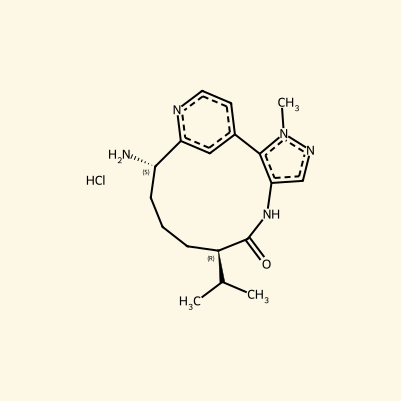 CC(C)[C@H]1CCC[C@H](N)c2cc(ccn2)-c2c(cnn2C)NC1=O.Cl